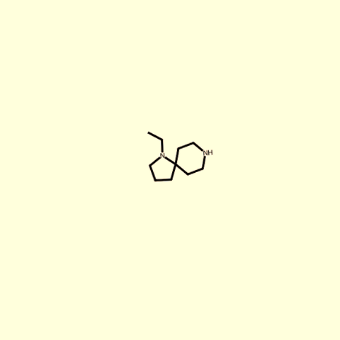 CCN1CCCC12CCNCC2